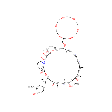 CO[C@@H]1C[C@H](C[C@@H](C)[C@@H]2CC(=O)[C@H](C)/C=C(\C)[C@@H](O)[C@@H](OC)C(=O)[C@H](C)C[C@H](C)/C=C/C=C/C=C(\C)C(OCC3COCCOCCOCCOCCOCCO3)C[C@@H]3CC[C@@H](C)[C@@](O)(O3)C(=O)C(=O)N3CCCC[C@H]3C(=O)O2)CC[C@H]1O